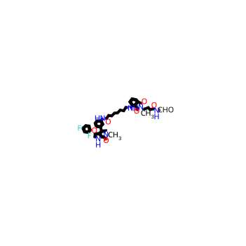 CC(CCC(=O)NC=O)N1C(=O)c2cccc(NCCCCCCCC(=O)Nc3ccc(Oc4ccc(F)cc4F)c(-c4cn(C)c(=O)c5[nH]ccc45)c3)c2C1=O